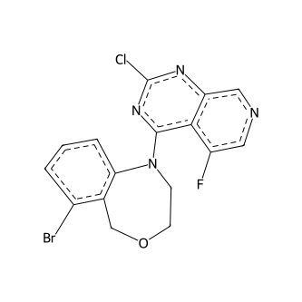 Fc1cncc2nc(Cl)nc(N3CCOCc4c(Br)cccc43)c12